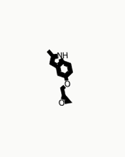 Cc1cc2cc(OCC3CO3)ccc2[nH]1